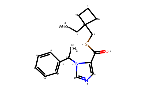 CSCC1(CSC(=O)c2cncn2C(C)c2ccccc2)CCC1